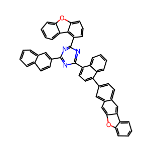 c1ccc2cc(-c3nc(-c4ccc(-c5ccc6cc7c(cc6c5)oc5ccccc57)c5ccccc45)nc(-c4cccc5oc6ccccc6c45)n3)ccc2c1